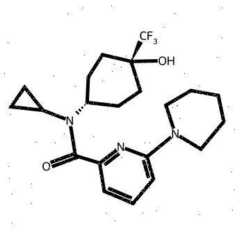 O=C(c1cccc(N2CCCCC2)n1)N(C1CC1)[C@H]1CC[C@](O)(C(F)(F)F)CC1